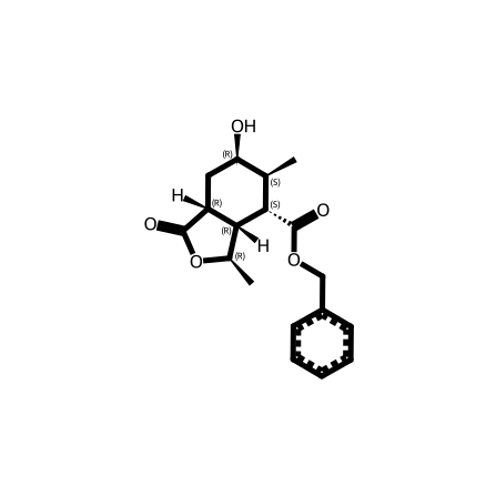 C[C@H]1[C@H](C(=O)OCc2ccccc2)[C@@H]2[C@@H](C)OC(=O)[C@@H]2C[C@H]1O